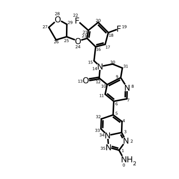 Nc1nc2cc(-c3cnc4c(c3)C(=O)N(Cc3cc(F)cc(F)c3OC3CCOC3)CC4)ccn2n1